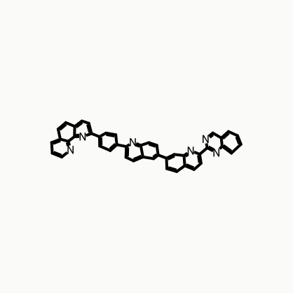 c1ccc2nc(-c3ccc4ccc(-c5ccc6nc(-c7ccc(-c8ccc9ccc%10cccnc%10c9n8)cc7)ccc6c5)cc4n3)ncc2c1